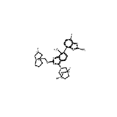 Cc1c(-c2ccc(F)c3sc(N)nc23)ccc2c(N3C[C@H]4CC[C@@H](C3)N4)nc(OC[C@@]34CCCN3C[C@H](F)C4)nc12